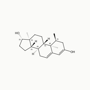 C[C@H]1CC(O)=CC2=CC[C@H]3[C@@H]4CC[C@H](O)[C@@]4(C)CC[C@@H]3[C@]21C